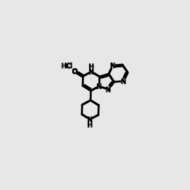 Cl.O=c1cc(C2CCNCC2)n2nc3nccnc3c2[nH]1